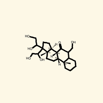 C[C@]12CCCCC1C(CO)C(=O)[C@@H]1[C@H]2CC[C@@]2(C)[C@H]1CCC2(C(O)CO)C(O)CO